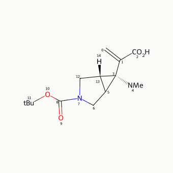 C=C(C(=O)O)[C@@]1(NC)C2CN(C(=O)OC(C)(C)C)C[C@@H]21